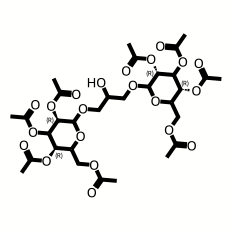 CC(=O)OCC1OC(OCC(O)COC2OC(COC(C)=O)[C@@H](OC(C)=O)C(OC(C)=O)[C@H]2OC(C)=O)[C@H](OC(C)=O)C(OC(C)=O)[C@@H]1OC(C)=O